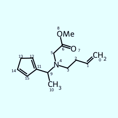 C=CCCN(CC(=O)OC)C(C)C1=CCC=C1